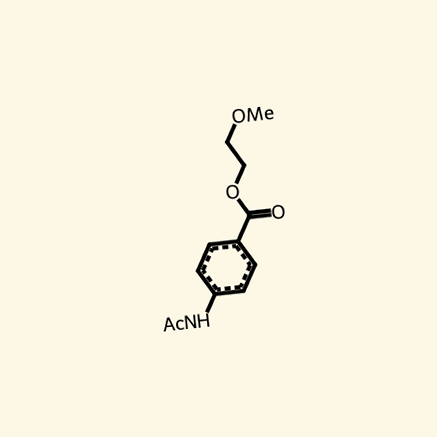 COCCOC(=O)c1ccc(NC(C)=O)cc1